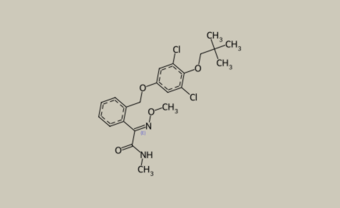 CNC(=O)/C(=N/OC)c1ccccc1COc1cc(Cl)c(OCC(C)(C)C)c(Cl)c1